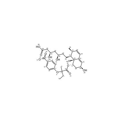 CCC(C)(Oc1ccc([N+](=O)[O-])cc1)C(=O)O[C@H]1C[C@H](O)C=C2C=C[C@H](C)[C@H](CC[C@@H](O)C[C@@H](O)CC(=O)O)[C@H]21